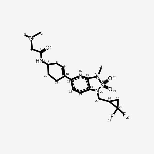 CN(C)CC(=O)NC1CC=C(c2ccc3c(n2)N(C)S(=O)(=O)N3CC2CC2(F)F)CC1